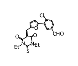 CCN1C(=O)C(=Cc2ccc(-c3cc(C=O)ccc3Cl)o2)C(=O)N(CC)C1=S